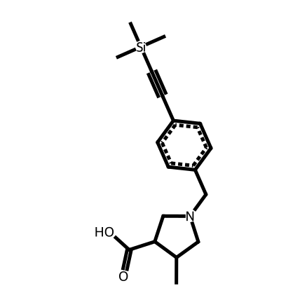 CC1CN(Cc2ccc(C#C[Si](C)(C)C)cc2)CC1C(=O)O